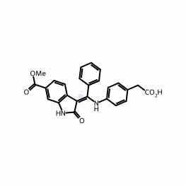 COC(=O)c1ccc2c(c1)NC(=O)/C2=C(\Nc1ccc(CC(=O)O)cc1)c1ccccc1